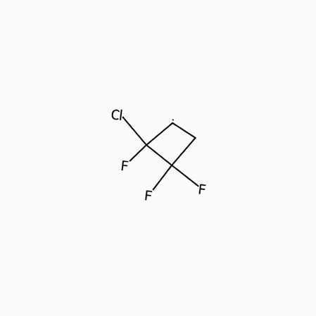 FC1(Cl)[CH]CC1(F)F